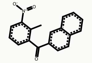 Cc1c(C(=O)c2ccc3ccccc3c2)cccc1[N+](=O)[O-]